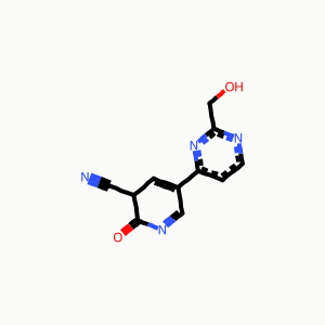 N#CC1C=C(c2ccnc(CO)n2)C=NC1=O